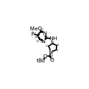 COc1nc(N[C@H]2CCN(C(=O)OC(C)(C)C)C2)ncc1F